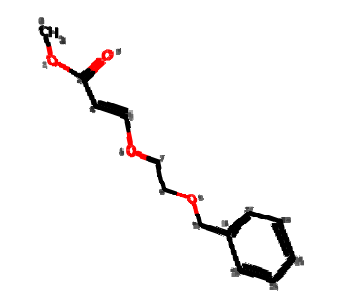 COC(=O)C=COCCOCc1ccccc1